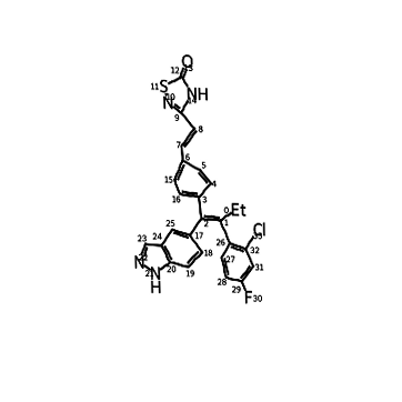 CCC(=C(c1ccc(C=Cc2nsc(=O)[nH]2)cc1)c1ccc2[nH]ncc2c1)c1ccc(F)cc1Cl